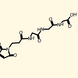 O=C(O)CNC(=O)CNC(=O)CNC(=O)CCN1C(=O)C=CC1=O